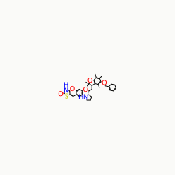 Cc1c(C)c2c(c(C)c1OCc1ccccc1)C(CC(Oc1ccc(C=C3SC(=O)NC3=O)cc1)[C@@H]1CCCN1)C(C)(C)O2